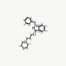 c1ccc(Cn2nc(OCCCN3CCCCC3)c3ccccc32)cc1